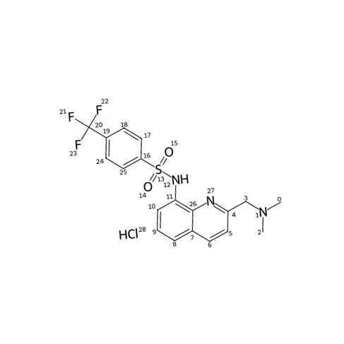 CN(C)Cc1ccc2cccc(NS(=O)(=O)c3ccc(C(F)(F)F)cc3)c2n1.Cl